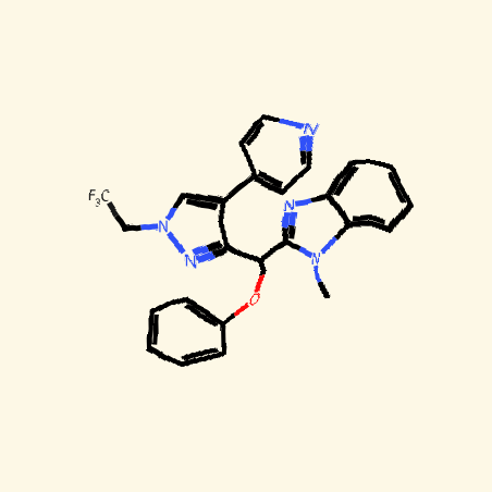 Cn1c(C(Oc2ccccc2)c2nn(CC(F)(F)F)cc2-c2ccncc2)nc2ccccc21